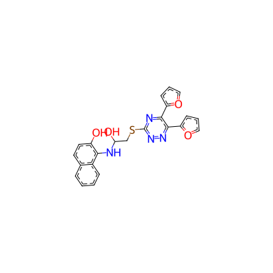 Oc1ccc2ccccc2c1NC(O)CSc1nnc(-c2ccco2)c(-c2ccco2)n1